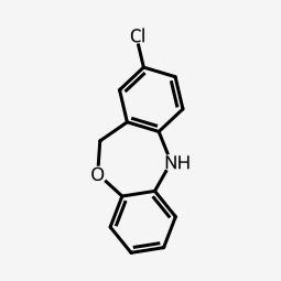 Clc1ccc2c(c1)COc1ccccc1N2